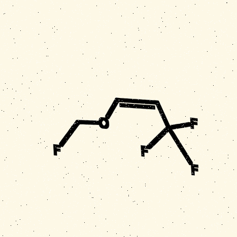 FCO/C=C\C(F)(F)F